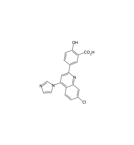 O=C(O)c1cc(-c2cc(-n3ccnc3)c3ccc(Cl)cc3n2)ccc1O